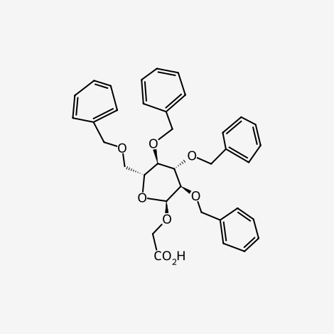 O=C(O)CO[C@H]1O[C@H](COCc2ccccc2)[C@@H](OCc2ccccc2)[C@H](OCc2ccccc2)[C@H]1OCc1ccccc1